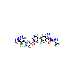 O=C(Nc1ccc(-c2ccnc(O[C@@H]3CCN(c4cn[nH]c(=O)c4Cl)C3)c2)c(F)c1)NC1CC1